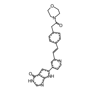 O=C(Cc1ccc(/C=C/c2cc(-c3cc4c(=O)[nH]cnc4[nH]3)ccn2)cc1)N1CCOCC1